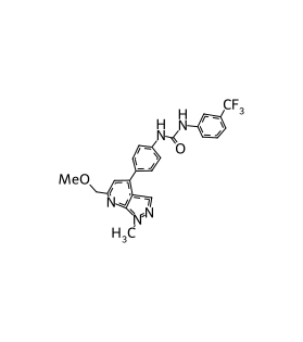 COCc1cc(-c2ccc(NC(=O)Nc3cccc(C(F)(F)F)c3)cc2)c2cnn(C)c2n1